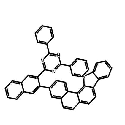 c1ccc(-c2nc(-c3ccccc3)nc(-c3cc4ccccc4cc3-c3ccc4c(ccc5ccc6c7ccccc7sc6c54)c3)n2)cc1